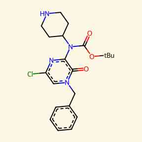 CC(C)(C)OC(=O)N(c1nc(Cl)cn(Cc2ccccc2)c1=O)C1CCNCC1